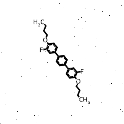 CCCCOc1ccc(-c2ccc(-c3ccc(OCCCC)c(F)c3)cc2)cc1F